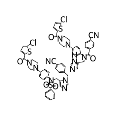 N#Cc1ccc(C(=O)N(Cc2cnc[nH]2)c2ccc(N3CCN(C(=O)c4ccc(Cl)s4)CC3)cc2)cc1.N#Cc1ccc(Cn2cncc2CN(c2ccc(N3CCN(C(=O)c4ccc(Cl)s4)CC3)cc2)S(=O)(=O)c2ccccc2)cc1